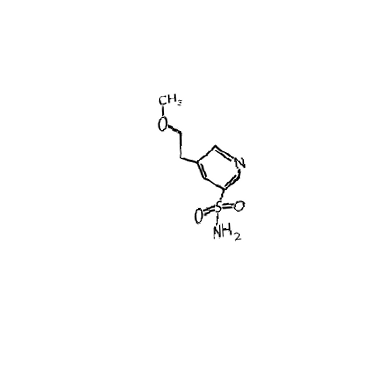 COCCc1cncc(S(N)(=O)=O)c1